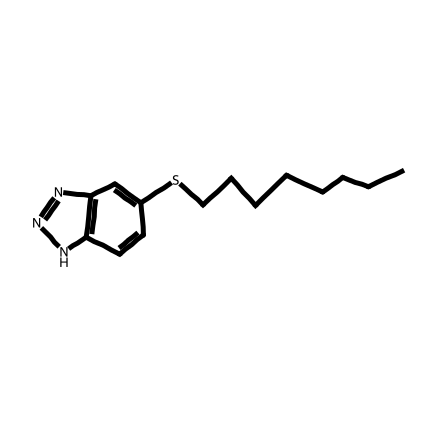 CCCCCCCCSc1ccc2[nH]nnc2c1